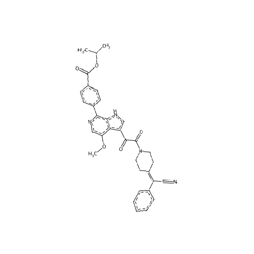 COc1cnc(-c2ccc(C(=O)OC(C)C)cc2)c2[nH]cc(C(=O)C(=O)N3CCC(=C(C#N)c4ccccc4)CC3)c12